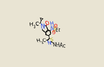 CCS(=O)(=O)Nc1cc(-c2sc(NC(C)=O)nc2C)cc2c1C(=O)N(C(C)C1CC1)C2